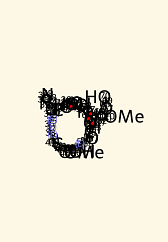 CO[C@@H]1C[C@H](CC2[C@H]3CCCN4C(=O)C(=O)[C@]5(O)O[C@@H](CC[C@H]5C)C[C@@H](OCc5cnccn5)/C(C)=C/C=C/C=C/[C@@H](C)C[C@@H](C)C(=O)[C@H](OC)[C@H](O)/C(C)=C/[C@@H](C)C(=O)C[C@@H]2OC(=O)C34)CC[C@H]1OCCO